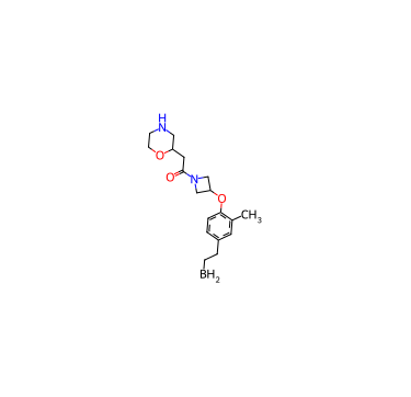 BCCc1ccc(OC2CN(C(=O)CC3CNCCO3)C2)c(C)c1